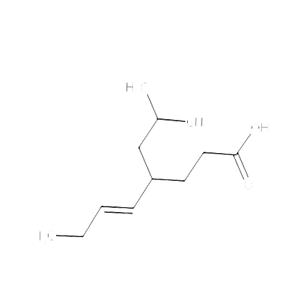 CC/C=C/C(CCC(=O)O)CC(C)C